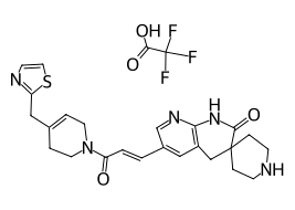 O=C(/C=C/c1cnc2c(c1)CC1(CCNCC1)C(=O)N2)N1CC=C(Cc2nccs2)CC1.O=C(O)C(F)(F)F